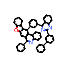 c1ccc(-c2cccc(-c3nc(-c4cccc(-c5c6c(cc7c(-c8ccccc8)nc8ccccc8c57)oc5ccccc56)c4)c4ccccc4n3)c2)cc1